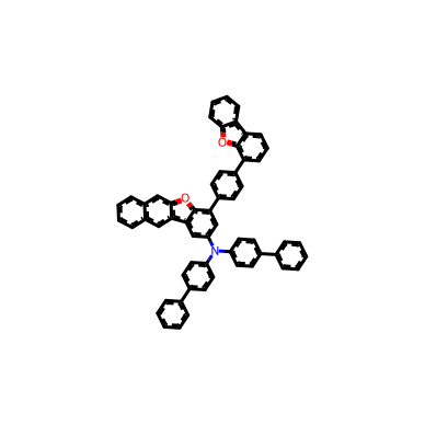 c1ccc(-c2ccc(N(c3ccc(-c4ccccc4)cc3)c3cc(-c4ccc(-c5cccc6c5oc5ccccc56)cc4)c4oc5cc6ccccc6cc5c4c3)cc2)cc1